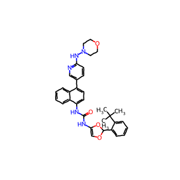 CC(C)(C)c1ccccc1C1OC=C(NC(=O)Nc2ccc(-c3ccc(NN4CCOCC4)nc3)c3ccccc23)O1